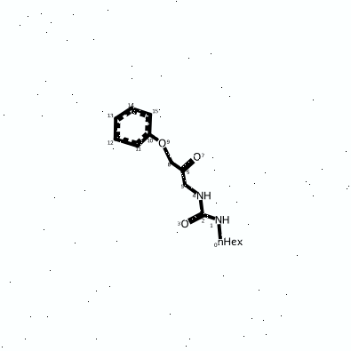 CCCCCCNC(=O)NCC(=O)COc1ccccc1